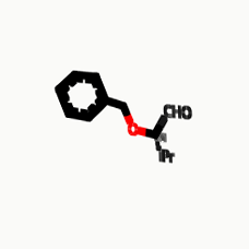 CC(C)[C@@H](C=O)OCc1ccccc1